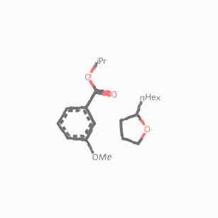 CCCCCCC1CCCO1.COc1cccc(C(=O)OC(C)C)c1